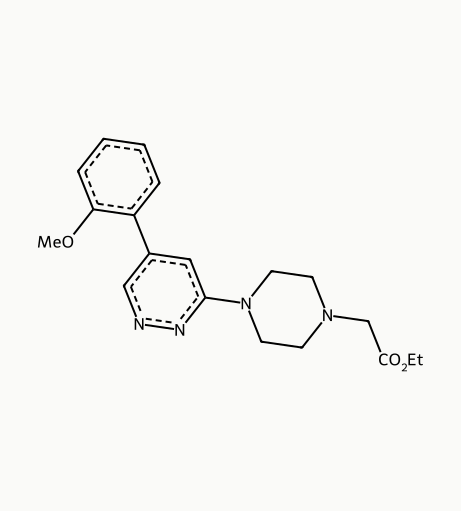 CCOC(=O)CN1CCN(c2cc(-c3ccccc3OC)cnn2)CC1